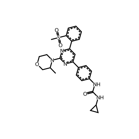 CC1COCCN1c1nc(-c2ccc(NC(=O)NC3CC3)cc2)cc(-c2ccccc2S(C)(=O)=O)n1